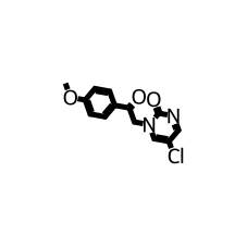 COc1ccc(C(=O)Cn2cc(Cl)cnc2=O)cc1